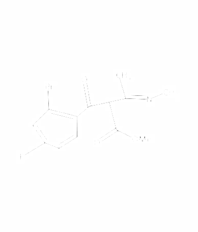 C/N=C(\C)C(C(=O)OC)C(=O)c1ccc(F)cc1Br